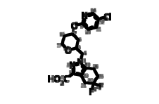 O=C(O)c1nn(CC2C[C@@H](Oc3ccc(Cl)cn3)CCO2)c2c1CC(F)(F)CC2